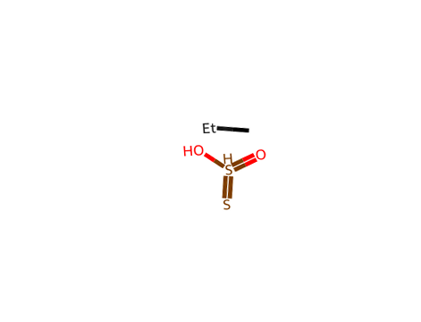 CCC.O=[SH](O)=S